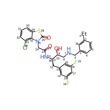 CCc1cccc(CNC[C@H](O)[C@@H](Cc2cc(F)cc(F)c2)NC(=O)Cn2c(=O)sc3cccc(Cl)c32)c1